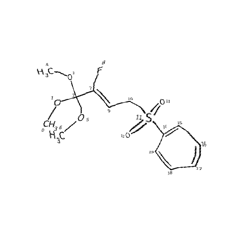 COC(OC)(OC)C(F)=CCS(=O)(=O)c1ccccc1